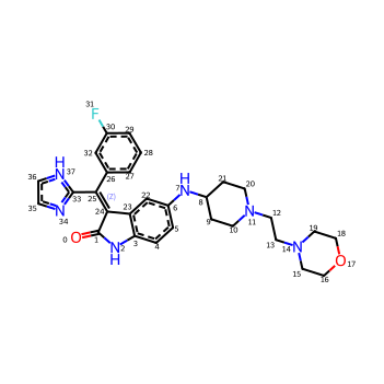 O=C1Nc2ccc(NC3CCN(CCN4CCOCC4)CC3)cc2/C1=C(\c1cccc(F)c1)c1ncc[nH]1